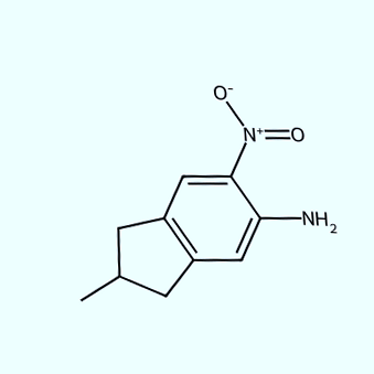 CC1Cc2cc(N)c([N+](=O)[O-])cc2C1